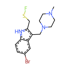 CN1CCN(Cc2c(CSF)[nH]c3ccc(Br)cc23)CC1